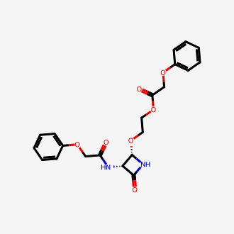 O=C(COc1ccccc1)N[C@H]1C(=O)N[C@H]1OCCOC(=O)COc1ccccc1